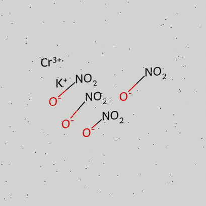 O=[N+]([O-])[O-].O=[N+]([O-])[O-].O=[N+]([O-])[O-].O=[N+]([O-])[O-].[Cr+3].[K+]